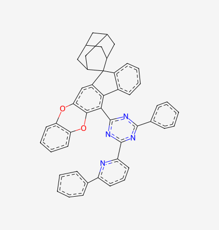 c1ccc(-c2cccc(-c3nc(-c4ccccc4)nc(-c4c5c(cc6c4-c4ccccc4C64C6CC7CC(C6)CC4C7)Oc4ccccc4O5)n3)n2)cc1